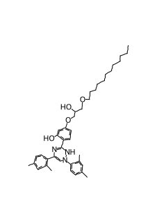 CCCCCCCCCCCCOCC(O)COc1ccc(C2=NC(c3ccc(C)cc3C)=CN(c3ccc(C)cc3C)N2)c(O)c1